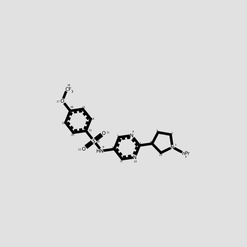 CCCN1CCC(c2ncc(NS(=O)(=O)c3ccc(OC(F)(F)F)cc3)cn2)C1